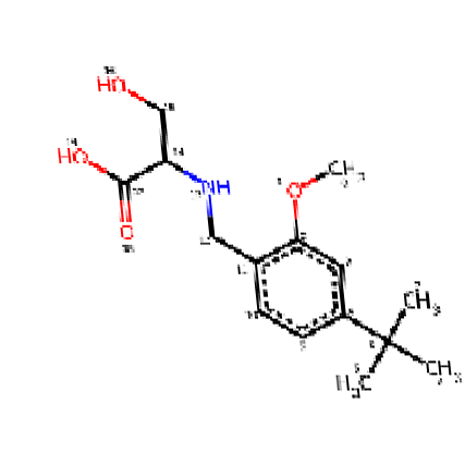 COc1cc(C(C)(C)C)ccc1CNC(CO)C(=O)O